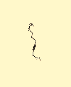 [CH2]CC#CCCCOC